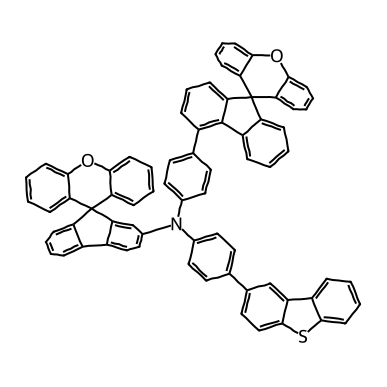 c1ccc2c(c1)Oc1ccccc1C21c2ccccc2-c2ccc(N(c3ccc(-c4ccc5sc6ccccc6c5c4)cc3)c3ccc(-c4cccc5c4-c4ccccc4C54c5ccccc5Oc5ccccc54)cc3)cc21